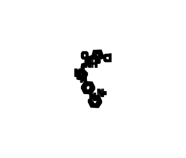 CN=c1ccccn1-c1ccc(-n2cnc(CNC(=O)c3ccc(Cl)s3)c2)cc1